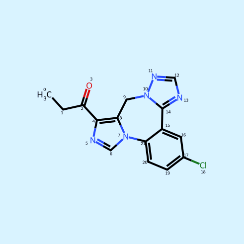 CCC(=O)c1ncn2c1Cn1ncnc1-c1cc(Cl)ccc1-2